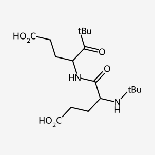 CC(C)(C)NC(CCC(=O)O)C(=O)NC(CCC(=O)O)C(=O)C(C)(C)C